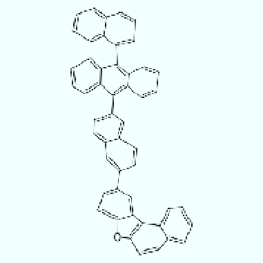 c1ccc2c(-c3c4ccccc4c(-c4ccc5cc(-c6ccc7oc8ccc9ccccc9c8c7c6)ccc5c4)c4ccccc34)cccc2c1